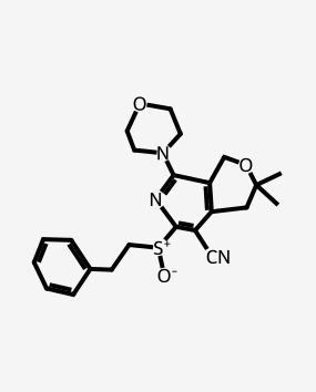 CC1(C)Cc2c(C#N)c([S+]([O-])CCc3ccccc3)nc(N3CCOCC3)c2CO1